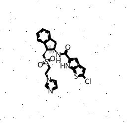 O=C(N[C@@H]1Cc2ccccc2[C@@H]1CS(=O)(=O)CCn1ccnc1)c1cc2cc(Cl)sc2[nH]1